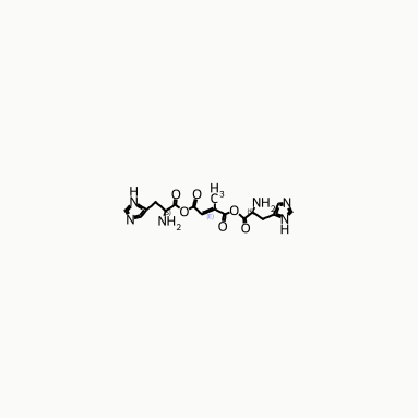 C/C(=C\C(=O)OC(=O)[C@@H](N)Cc1cnc[nH]1)C(=O)OC(=O)[C@@H](N)Cc1cnc[nH]1